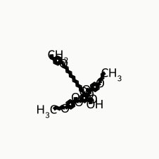 C=Cc1ccc(OCCCCCCCCCCCOc2cc(OC(=O)c3ccc(OCCCC)cc3)cc(C(=O)O)c2OC(=O)c2ccc(OCCCC)cc2)cc1